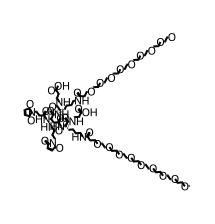 COCCOCCOCCOCCOCCOCCOCCOCCOCCC(=O)NCCCC[C@H](NC(=O)C(NC(=O)CCN1C(=O)C=CC1=O)C(NC(=O)CCN1C(=O)C=CC1=O)C(=O)N[C@@H](CCCCNC(=O)CCOCCOCCOCCOCCOCCOCCOCCOCCOC)C(=O)NCCC(=O)O)C(=O)NCCC(=O)O